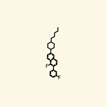 CCCCCC1CCC(c2ccc3c(F)c(-c4cccc(F)c4)ccc3c2)CC1